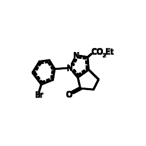 CCOC(=O)c1nn(-c2cccc(Br)c2)c2c1CCC2=O